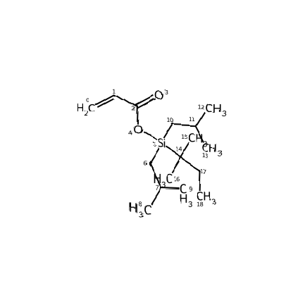 C=CC(=O)O[Si](CC(C)C)(CC(C)C)C(C)(C)CC